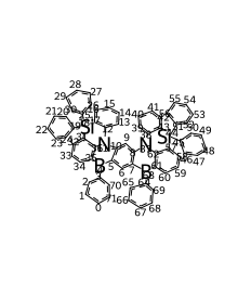 c1ccc(B2c3cc4c(cc3N3c5ccccc5[Si](c5ccccc5)(c5ccccc5)c5cccc2c53)N2c3ccccc3[Si](c3ccccc3)(c3ccccc3)c3cccc(c32)B4c2ccccc2)cc1